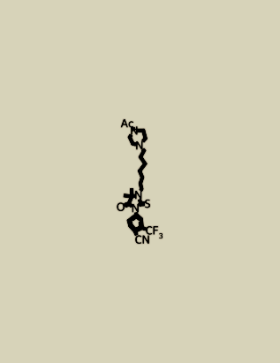 CC(=O)N1CCN(CCCCCCCN2C(=S)N(c3ccc(C#N)c(C(F)(F)F)c3)C(=O)C2(C)C)CC1